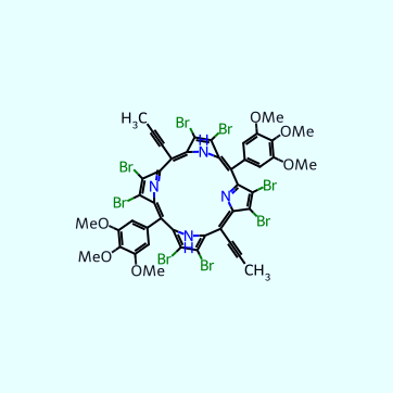 CC#Cc1c2nc(c(-c3cc(OC)c(OC)c(OC)c3)c3[nH]c(c(Br)c3Br)c(C#CC)c3nc(c(-c4cc(OC)c(OC)c(OC)c4)c4[nH]c1c(Br)c4Br)C(Br)=C3Br)C(Br)=C2Br